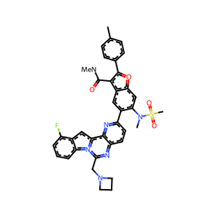 CNC(=O)c1c(-c2ccc(C)cc2)oc2cc(N(C)S(C)(=O)=O)c(-c3ccc4nc(CN5CCC5)n5c6cccc(F)c6cc5c4n3)cc12